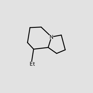 CCC1CCCN2CCCC12